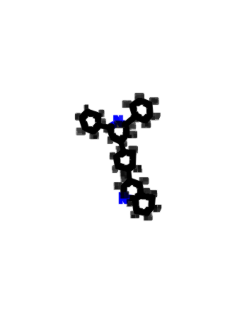 c1ccc(-c2cc(-c3ccc(-c4cnc5ccccc5c4)cc3)cc(-c3ccccc3)n2)cc1